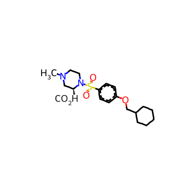 CN1CCN(S(=O)(=O)c2ccc(OCC3CCCCC3)cc2)[C@@H](C(=O)O)C1